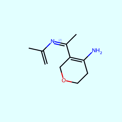 C=C(C)/N=C(/C)C1=C(N)CCOC1